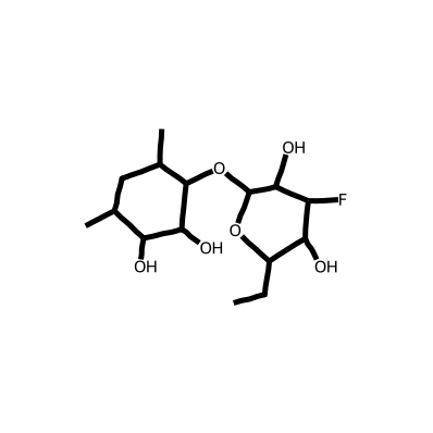 CCC1OC(OC2C(C)CC(C)C(O)C2O)C(O)C(F)C1O